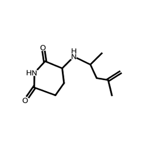 C=C(C)CC(C)NC1CCC(=O)NC1=O